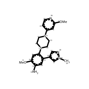 COc1cc(N2CCN(c3cc(OC)c(N)cc3-c3cnn(C)c3)CC2)ccn1